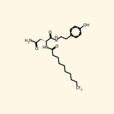 NC(=O)C[C@@H](NC(=O)CCCCCCCCC(F)(F)F)C(=O)NCCc1ccc(O)cc1